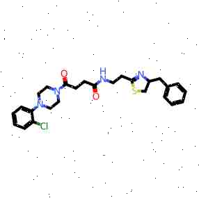 O=C(CCC(=O)N1CCN(c2ccccc2Cl)CC1)NCCC1=NC(Cc2ccccc2)CS1